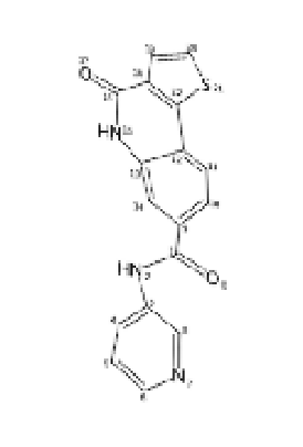 O=C(Nc1cccnc1)c1ccc2c(c1)[nH]c(=O)c1ccsc12